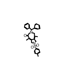 C/C1=C2\CN(S(=O)(=O)c3ccc(C)cc3)C\C2=C(/C)C(=O)CN(C(c2ccccc2)c2ccccc2)C1